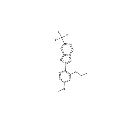 CCSc1cc(OC)cnc1-c1cn2cnc(C(F)(F)F)cc2n1